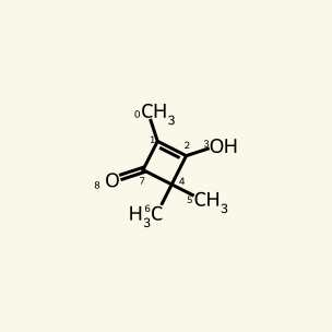 CC1=C(O)C(C)(C)C1=O